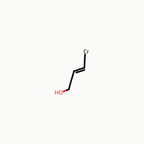 OCC=[CH][Cr]